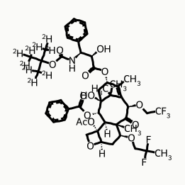 [2H]C([2H])([2H])C(OC(=O)N[C@@H](c1ccccc1)[C@@H](O)C(=O)O[C@H]1C[C@@]2(O)[C@@H](OC(=O)c3ccccc3)[C@@H]3[C@]4(OC(C)=O)CO[C@@H]4C[C@H](OCC(C)(F)F)[C@@]3(C)C(=O)[C@H](OCC(F)(F)F)C(=C1C)C2(C)C)(C([2H])([2H])[2H])C([2H])([2H])[2H]